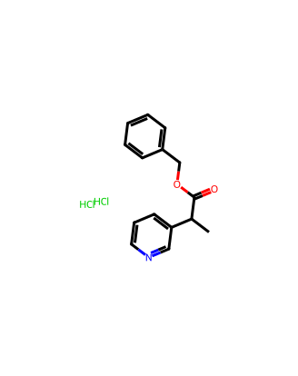 CC(C(=O)OCc1ccccc1)c1cccnc1.Cl.Cl